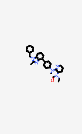 CCN(C=O)c1cccnc1N(C)c1ccc(-c2cccc3c2nc(C)n3Cc2ccccc2)cc1